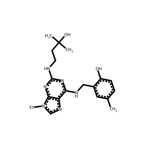 CCn1cnc2c(NCc3cc(C)ccc3O)nc(NCCC(C)(C)O)nc21